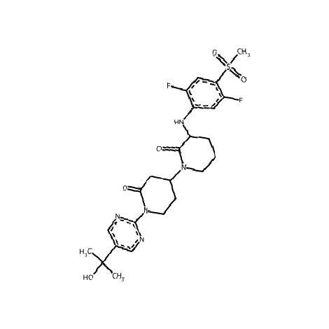 CC(C)(O)c1cnc(N2CCC(N3CCCC(Nc4cc(F)c(S(C)(=O)=O)cc4F)C3=O)CC2=O)nc1